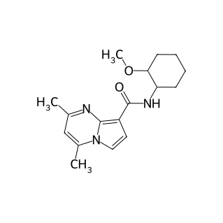 COC1CCCCC1NC(=O)c1ccn2c(C)cc(C)nc12